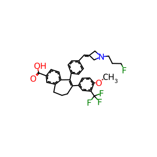 COc1ccc(C2=C(c3ccc(C=C4CN(CCCF)C4)cc3)c3ccc(C(=O)O)cc3CCC2)cc1C(F)(F)F